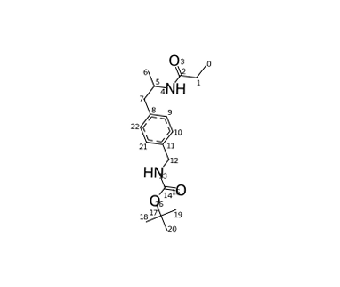 CCC(=O)NC(C)Cc1ccc(CNC(=O)OC(C)(C)C)cc1